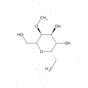 CC[C@@H]1OC(CO)[C@@H](OC)[C@@H](O)C1O